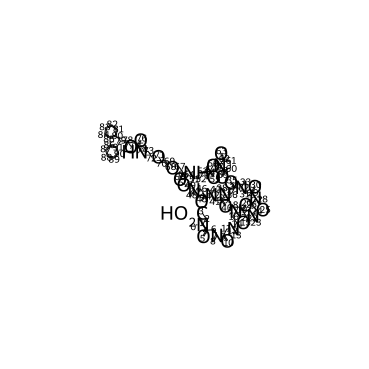 CN(CC(=O)O)C(=O)CN(C)C(=O)CN(C)C(=O)CN(C)C(=O)CN(C)C(=O)CN(C)C(=O)CN(C)C(=O)CN(C)C(=O)CN(C)C(=O)CN(C)C(=O)C(CCC(=O)ON1C(=O)CCC1=O)NC(=O)COCCOCCNC(=O)OCC1c2ccccc2-c2ccccc21